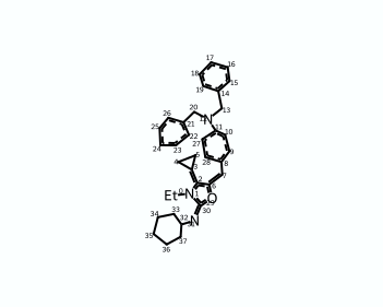 CCn1c(=C2CC2)/c(=C\c2ccc(N(Cc3ccccc3)Cc3ccccc3)cc2)o/c1=N/C1CCCCC1